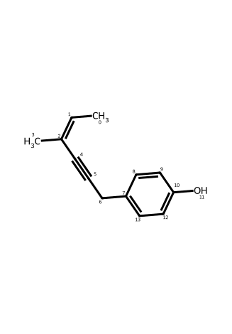 CC=C(C)C#CCc1ccc(O)cc1